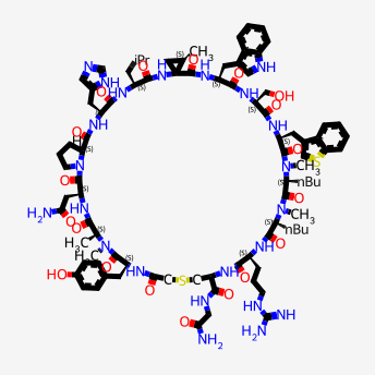 CCCC[C@H]1C(=O)N(C)[C@@H](CCCC)C(=O)N[C@@H](CCCNC(=N)N)C(=O)NC(C(=O)NCC(N)=O)CSCC(=O)N[C@@H](Cc2ccc(O)cc2)C(=O)N(C)[C@@H](C)C(=O)N[C@@H](CC(N)=O)C(=O)N2CCC[C@H]2C(=O)N[C@@H](Cc2cnc[nH]2)C(=O)N[C@@H](CC(C)C)C(=O)NC2(C[C@@H]2C)C(=O)N[C@@H](Cc2c[nH]c3ccccc23)C(=O)N[C@@H](CO)C(=O)N[C@@H](Cc2csc3ccccc23)C(=O)N1C